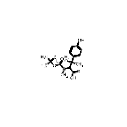 CN(C(=O)OC(C)(C)C)C(C(=O)O)C(C)(C)c1ccc(O)cc1